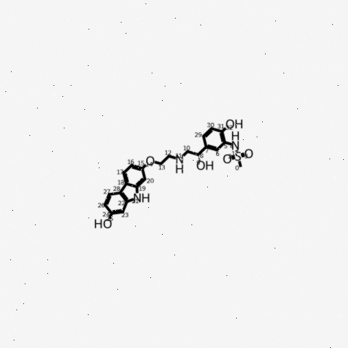 CS(=O)(=O)Nc1cc([C@H](O)CNCCOc2ccc3c(c2)[nH]c2cc(O)ccc23)ccc1O